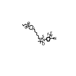 CCCS(=O)(=O)N1CCN(CCCCCCN2C(=S)N(c3ccc(C#N)c(C(F)(F)F)c3)C(=O)C2(C)C)CC1